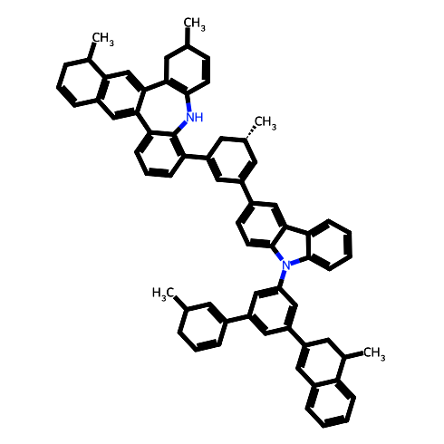 CC1C=C(c2cc(C3=Cc4ccccc4C(C)C3)cc(-n3c4ccccc4c4cc(C5=C[C@@H](C)CC(c6cccc7c6NC6=C(CC(C)C=C6)c6cc8c(cc6-7)C=CCC8C)=C5)ccc43)c2)C=CC1